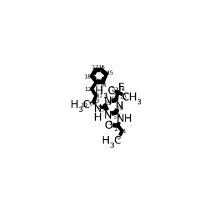 CCC(=O)Nc1nc(N[C@H](C)CCc2ccccc2)nc(C(C)(C)F)n1